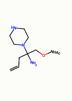 C=CCC(N)(CONC(C)=O)N1CCNCC1